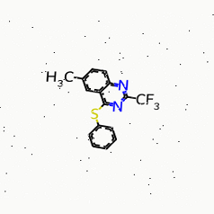 Cc1ccc2nc(C(F)(F)F)nc(Sc3ccccc3)c2c1